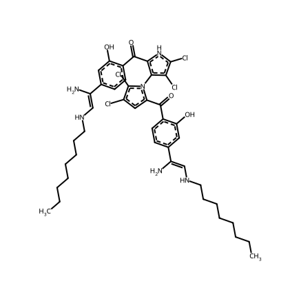 CCCCCCCCN/C=C(\N)c1ccc(C(=O)c2[nH]c(Cl)c(Cl)c2-n2c(C(=O)c3ccc(/C(N)=C/NCCCCCCCC)cc3O)cc(Cl)c2Cl)c(O)c1